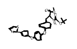 COC(=O)C(Cc1ccc(Oc2ccc(Oc3ccc(-c4nccs4)cc3)cc2)cc1)NC(=O)OC(C)(C)C